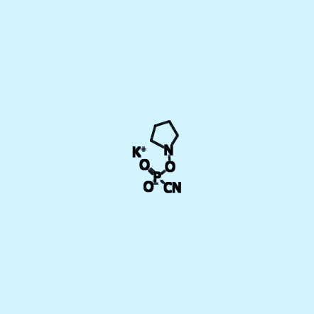 N#CP(=O)([O-])ON1CCCC1.[K+]